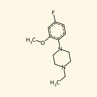 CCN1CCN(c2ccc(F)cc2OC)CC1